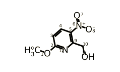 COc1ccc([N+](=O)[O-])c(CO)n1